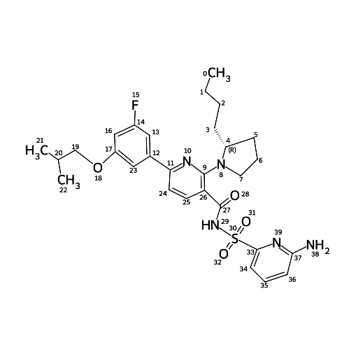 CCCC[C@@H]1CCCN1c1nc(-c2cc(F)cc(OCC(C)C)c2)ccc1C(=O)NS(=O)(=O)c1cccc(N)n1